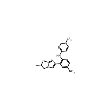 CC1Cn2cc(-c3cc([N+](=O)[O-])ccc3Nc3ccc(C(F)(F)F)cn3)nc2O1